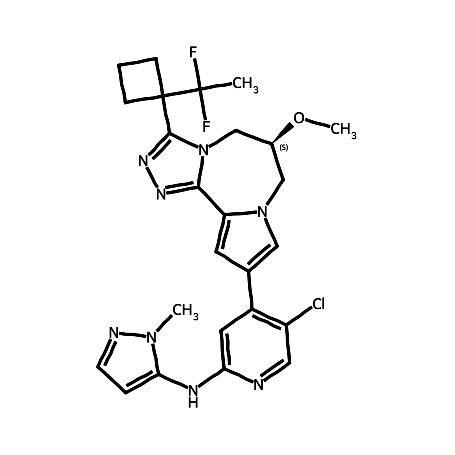 CO[C@H]1Cn2cc(-c3cc(Nc4ccnn4C)ncc3Cl)cc2-c2nnc(C3(C(C)(F)F)CCC3)n2C1